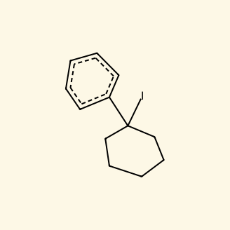 IC1(c2ccccc2)CCCCC1